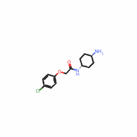 N[C@H]1CC[C@H](NC(=O)COc2ccc(Cl)cc2)CC1